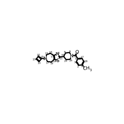 Cc1ccc(C(=O)N2CCC(c3nc4c(s3)CCN(C3=CC=C3)CC4)CC2)cc1